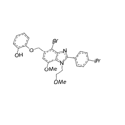 COCCn1c(-c2ccc(C(C)C)cc2)nc2c(Br)c(COc3ccccc3O)cc(OC)c21